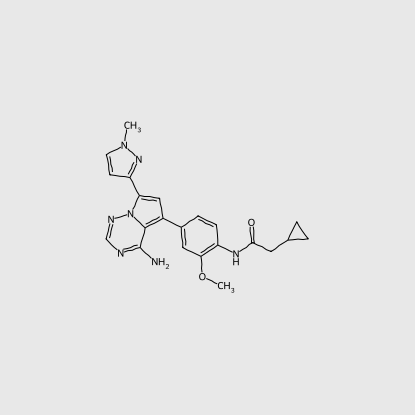 COc1cc(-c2cc(-c3ccn(C)n3)n3ncnc(N)c23)ccc1NC(=O)CC1CC1